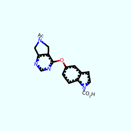 CC(=O)N1Cc2ncnc(Oc3ccc4c(ccn4C(=O)O)c3)c2C1